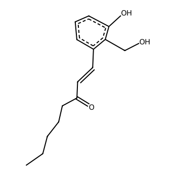 CCCCCC(=O)/C=C/c1cccc(O)c1CO